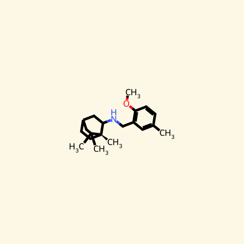 COc1ccc(C)cc1CNC1CC2CC[C@]1(C)C(C)(C)C2